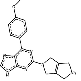 COc1ccc(-c2nc(N3CC4=C(CNC4)C3)nc3[nH]cnc23)cc1